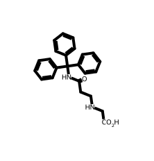 O=C(O)CNCCC(=O)NC(c1ccccc1)(c1ccccc1)c1ccccc1